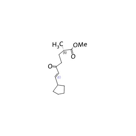 COC(=O)[C@@H](C)CCC(=O)/C=C/C1CCCC1